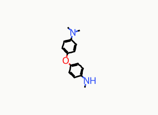 CNc1ccc(Oc2ccc(N(C)C)cc2)cc1